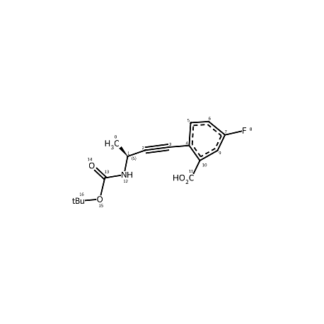 C[C@@H](C#Cc1ccc(F)cc1C(=O)O)NC(=O)OC(C)(C)C